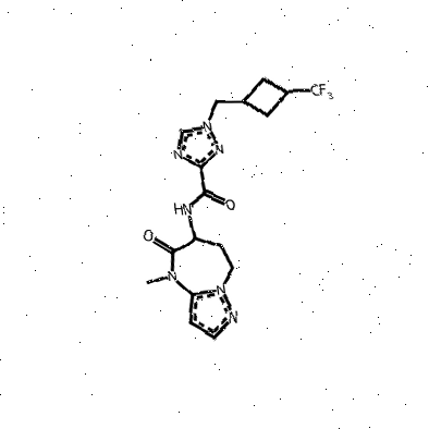 CN1C(=O)C(NC(=O)c2ncn(CC3CC(C(F)(F)F)C3)n2)CCn2nccc21